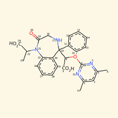 Cc1cc(C)nc(OC(C(=O)O)C2(c3ccccc3)NCC(=O)N(C(C)C(=O)O)c3ccccc32)n1